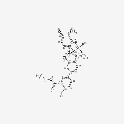 CCOC(=O)c1cc(-c2ccc([C@H](C)[C@](O)(c3ccc(=O)n(C)c3)C(F)(F)F)c(Cl)c2)ccc1F